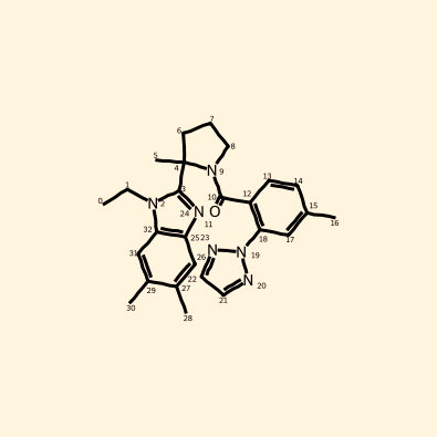 CCn1c(C2(C)CCCN2C(=O)c2ccc(C)cc2-n2nccn2)nc2cc(C)c(C)cc21